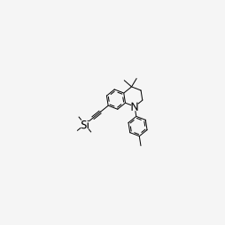 Cc1ccc(N2CCC(C)(C)c3ccc(C#C[Si](C)(C)C)cc32)cc1